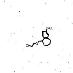 CCOc1ccc2c(c1)CCCSC2COCCCl